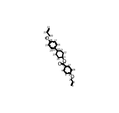 C=CCOc1ccc(C(=O)OC2CCC(c3ccc(OCC=C)cc3)CC2)cc1